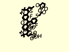 Cc1cc2c(s1)-c1cc3c(cc1N(C)C2(C)C)Oc1cc2c(cc1=C3c1c(F)c(SCC(=O)ON3C(=O)CCC3=O)cc(F)c1S(=O)(=O)O)-c1sc(S(=O)(=O)O)cc1C(C)(C)[N+]=2C